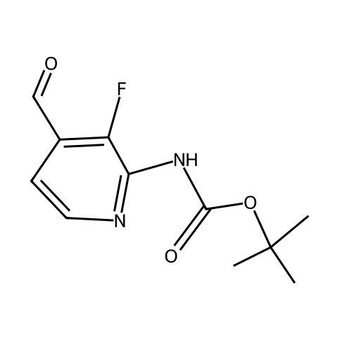 CC(C)(C)OC(=O)Nc1nccc(C=O)c1F